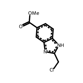 COC(=O)c1ccc2[nH]c(CCl)nc2c1